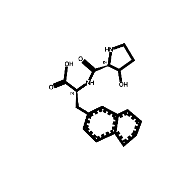 O=C(O)[C@H](Cc1ccc2ccccc2c1)NC(=O)[C@H]1NCCC1O